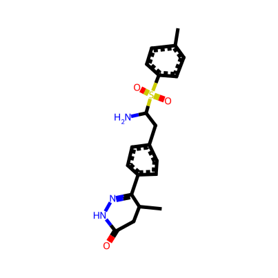 Cc1ccc(S(=O)(=O)C(N)Cc2ccc(C3=NNC(=O)CC3C)cc2)cc1